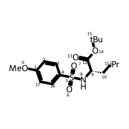 COc1ccc(S(=O)(=O)N[C@@H](CC(C)C)C(=O)OC(C)(C)C)cc1